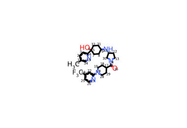 Cc1ccc(C2(O)CCC(N[C@H]3CCN(C(=O)C4CCN(c5cc(C(F)(F)F)ccn5)CC4)C3)CC2)nc1